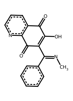 CN=C(C1=C(O)C(=O)c2cccnc2C1=O)c1ccccc1